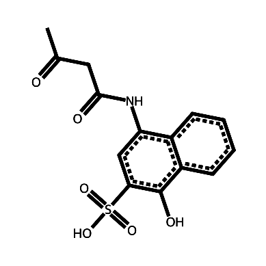 CC(=O)CC(=O)Nc1cc(S(=O)(=O)O)c(O)c2ccccc12